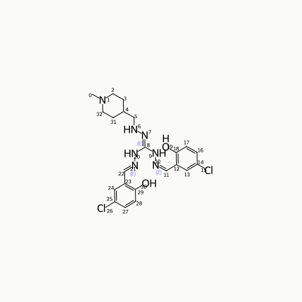 CN1CCC(CN/N=C(/N/N=C\c2cc(Cl)ccc2O)N/N=C/c2cc(Cl)ccc2O)CC1